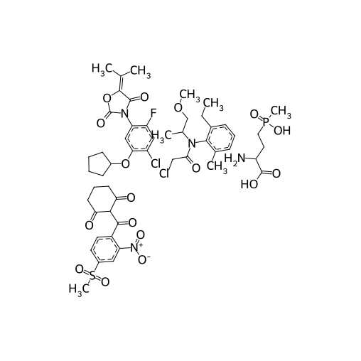 CC(C)=C1OC(=O)N(c2cc(OC3CCCC3)c(Cl)cc2F)C1=O.CCc1cccc(C)c1N(C(=O)CCl)C(C)COC.CP(=O)(O)CCC(N)C(=O)O.CS(=O)(=O)c1ccc(C(=O)C2C(=O)CCCC2=O)c([N+](=O)[O-])c1